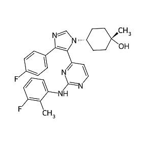 Cc1c(F)cccc1Nc1nccc(-c2c(-c3ccc(F)cc3)ncn2[C@H]2CC[C@@](C)(O)CC2)n1